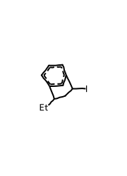 CCC1CC(I)c2cccc1c2